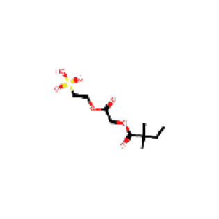 CCC(C)(C)C(=O)OCC(=O)OCCS(=O)(=O)O